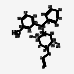 C=CCN1C[C@H](C)N([C@@H](c2ccccc2)c2cccc(O)c2)C[C@@H]1C